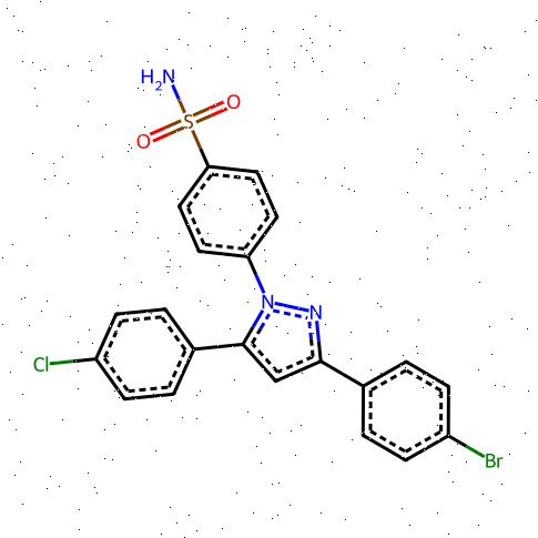 NS(=O)(=O)c1ccc(-n2nc(-c3ccc(Br)cc3)cc2-c2ccc(Cl)cc2)cc1